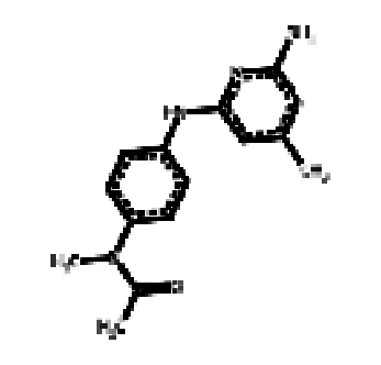 CC(=O)N(C)c1ccc(Nc2cc(C)nc(N)n2)cc1